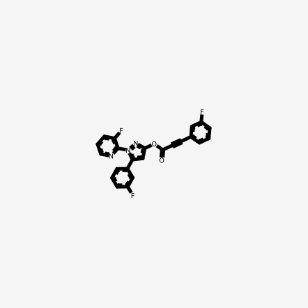 O=C(C#Cc1cccc(F)c1)Oc1cc(-c2cccc(F)c2)n(-c2ncccc2F)n1